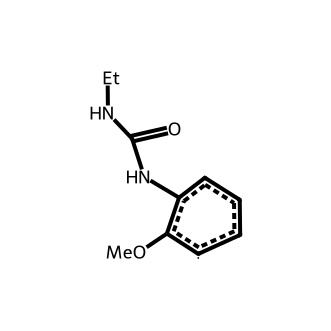 CCNC(=O)Nc1ccc[c]c1OC